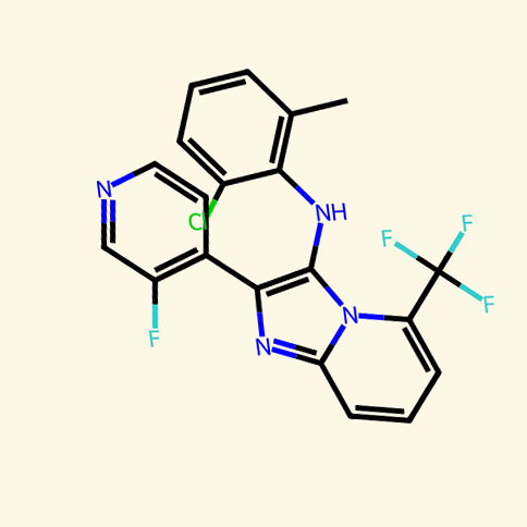 Cc1cccc(Cl)c1Nc1c(-c2ccncc2F)nc2cccc(C(F)(F)F)n12